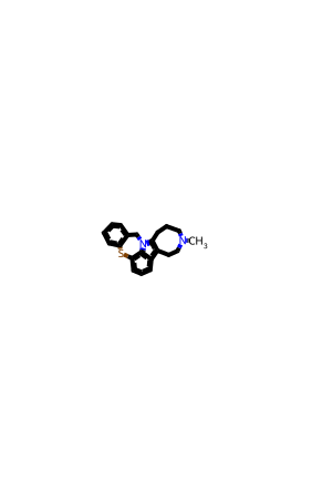 CN1CCCc2c(c3cccc4c3n2Cc2ccccc2S4)CC1